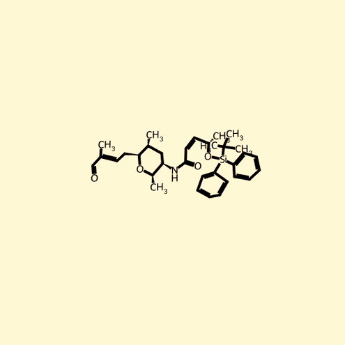 C/C(C=O)=C\C[C@@H]1O[C@H](C)[C@H](NC(=O)/C=C\[C@H](C)O[Si](c2ccccc2)(c2ccccc2)C(C)(C)C)C[C@@H]1C